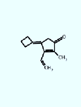 C=CC1=C(C)C(=O)CC1=C1CCC1